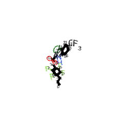 C=CCc1c(F)c(F)c(COC(=O)C(Nc2ccc(C(F)(F)F)cc2Cl)C(C)C)c(F)c1F